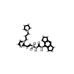 O=C(Nc1c2c(cc3c1CCC3)CCC2)NS(=O)(=O)/C=C/c1nccn1CCCN1CCCC1